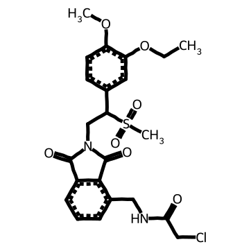 CCOc1cc(C(CN2C(=O)c3cccc(CNC(=O)CCl)c3C2=O)S(C)(=O)=O)ccc1OC